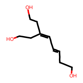 OCCC=CC=C(CCO)CCO